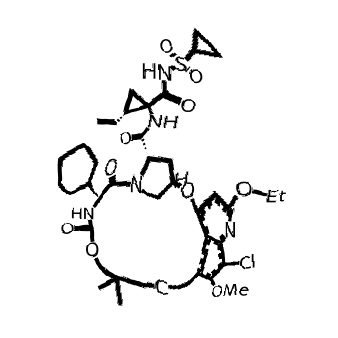 C=C[C@@H]1C[C@]1(NC(=O)[C@@H]1C[C@@H]2CN1C(=O)[C@H](C1CCCCC1)NC(=O)OCC(C)(C)CCCc1cc3c(cc(OCC)nc3c(Cl)c1OC)O2)C(=O)NS(=O)(=O)C1CC1